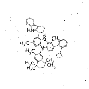 Cc1cc(C2=CCCc3c2[nH]c2ccccc32)c2c(c1)N(c1cc3c(cc1C)C(C)(C)CCC3(C)C)c1ccc(-c3ccccc3C3CCC3)c(C)c1B2